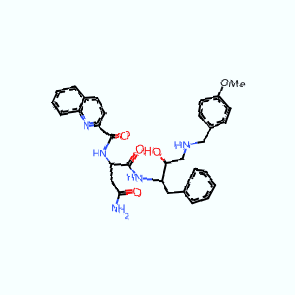 COc1ccc(CNCC(O)C(Cc2ccccc2)NC(=O)C(CC(N)=O)NC(=O)c2ccc3ccccc3n2)cc1